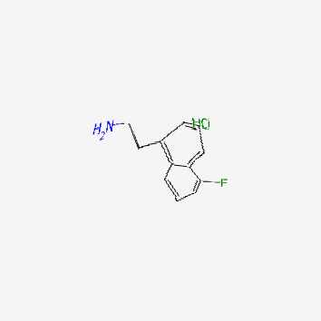 Cl.NCCc1cccc2c(F)cccc12